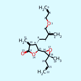 C=CCOCC(=C)CC[C@H]1C(=C)C(=O)O[C@@H]1[C@H]1O[C@]1(C)CC=C